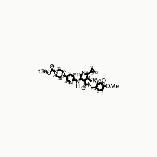 COc1ccc(CN2Cc3c(C4CC4)ncc(Nc4ccc(N5CCN(C(=O)OC(C)(C)C)CC5)cn4)c3C2=O)c(OC)c1